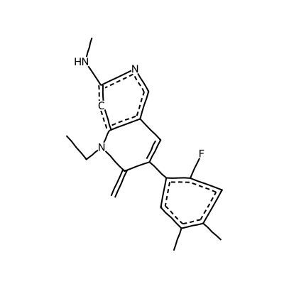 C=C1C(c2cc(C)c(C)cc2F)=Cc2cnc(NC)cc2N1CC